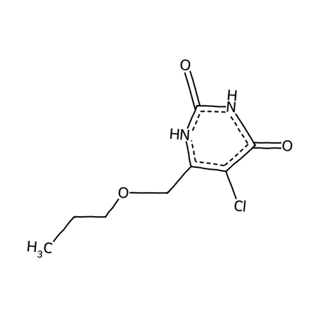 CCCOCc1[nH]c(=O)[nH]c(=O)c1Cl